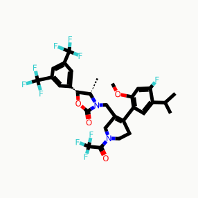 COc1cc(F)c(C(C)C)cc1C1=C(CN2C(=O)O[C@H](c3cc(C(F)(F)F)cc(C(F)(F)F)c3)[C@@H]2C)CN(C(=O)C(F)(F)F)CC1